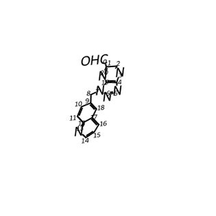 O=Cc1cnc2nnn(Cc3ccc4ncccc4c3)c2n1